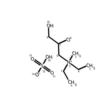 CC[N+](C)(CC)CC(Cl)CO.O=S(=O)([O-])O